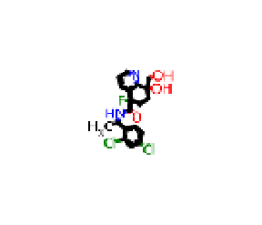 C[C@@H](NC(=O)C1(F)CCC(O)(CO)c2ncccc21)c1ccc(Cl)cc1Cl